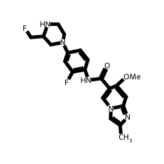 COc1cc2nc(C)cn2cc1C(=O)Nc1ccc(N2CCNC(CF)C2)cc1F